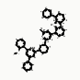 COc1ccccc1-c1cc(-c2ccccc2)cc(-c2cccc(-c3cc(-c4cccc5c4sc4c(-c6ccccc6)cccc45)cc(C)n3)c2)n1